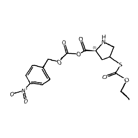 CCOC(=O)SC1CN[C@H](C(=O)OC(=O)OCc2ccc([N+](=O)[O-])cc2)C1